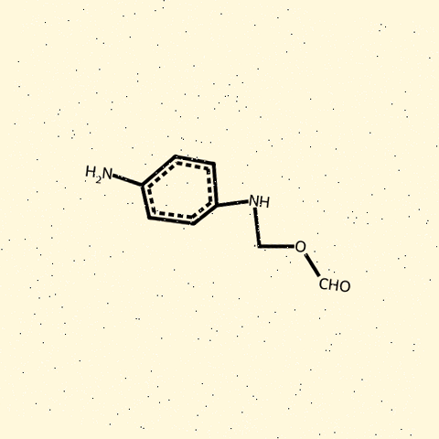 Nc1ccc(N[CH]OC=O)cc1